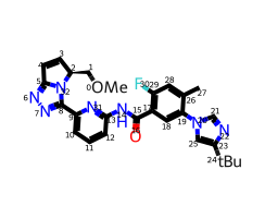 COC[C@@H]1C=Cc2nnc(-c3cccc(NC(=O)c4cc(-n5cnc(C(C)(C)C)c5)c(C)cc4F)n3)n21